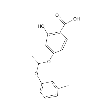 Cc1cccc(OC(C)Oc2ccc(C(=O)O)c(O)c2)c1